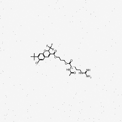 CC(=O)N[C@@H](CCCNC(=N)N)C(=O)OCCCOC(=O)C1=Cc2cc(Cl)c(C(C)(C)C)cc2OC1C(F)(F)F